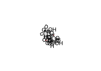 COC(=O)O[C@@]12OC[C@@H]1C[C@H](O)[C@@]1(C)C(=O)[C@H](OC(C)=O)C3=C(C)[C@@H](OC(=O)[C@H](O)[C@@H](NC(=O)c4ccccc4)c4ccccc4)C[C@@](O)([C@@H](OC(=O)c4ccccc4)[C@H]21)C3(C)C